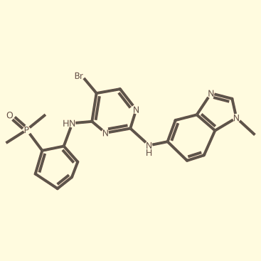 Cn1cnc2cc(Nc3ncc(Br)c(Nc4ccccc4P(C)(C)=O)n3)ccc21